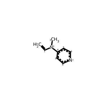 C=CN(C)c1ccncc1